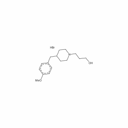 Br.COc1ccc(CC2CCN(CCCO)CC2)cc1